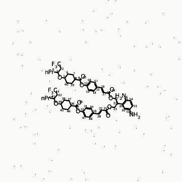 CCCC(CC(F)(F)F)OC1CCC(C(=O)Oc2ccc(/C=C/C(=O)OCC(COC(=O)/C=C/c3ccc(OC(=O)C4CCC(OC(CCC)CC(F)(F)F)CC4)cc3)c3cc(N)ccc3N)cc2)CC1